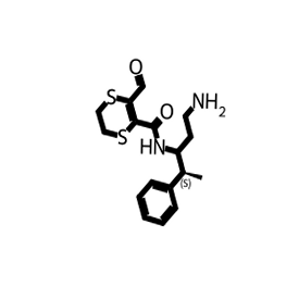 C[C@@H](c1ccccc1)C(CCN)NC(=O)C1=C(C=O)SCCS1